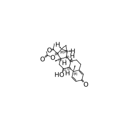 CC(=O)O[C@]1(C(C)=O)[C@@H]2C[C@@H]2[C@H]2[C@@H]3CCC4=CC(=O)C=C[C@]4(C)[C@H]3[C@@H](O)C[C@@]21C